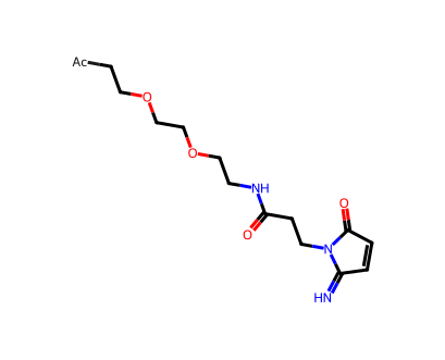 CC(=O)CCOCCOCCNC(=O)CCN1C(=N)C=CC1=O